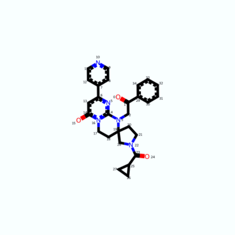 O=C(CN1c2nc(-c3ccncc3)cc(=O)n2CCC12CCN(C(=O)C1CC1)C2)c1ccccc1